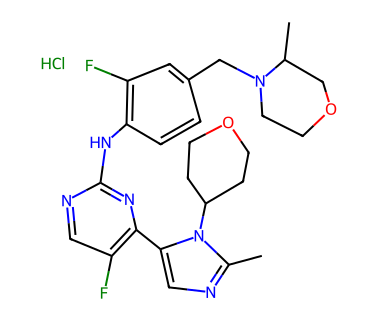 Cc1ncc(-c2nc(Nc3ccc(CN4CCOCC4C)cc3F)ncc2F)n1C1CCOCC1.Cl